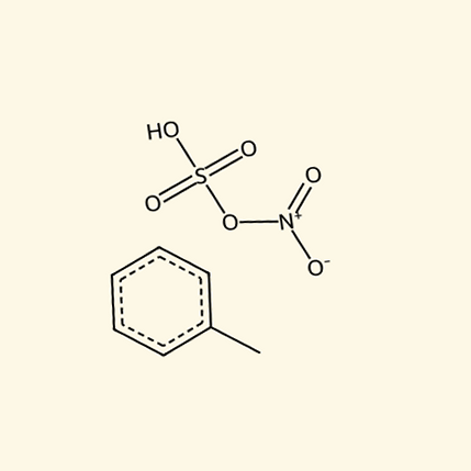 Cc1ccccc1.O=[N+]([O-])OS(=O)(=O)O